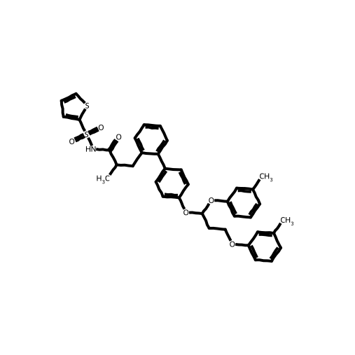 Cc1cccc(OCCC(Oc2ccc(-c3ccccc3CC(C)C(=O)NS(=O)(=O)c3cccs3)cc2)Oc2cccc(C)c2)c1